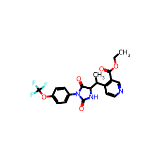 CCOC(=O)c1cnccc1C(C)C1NC(=O)N(c2ccc(OC(F)(F)F)cc2)C1=O